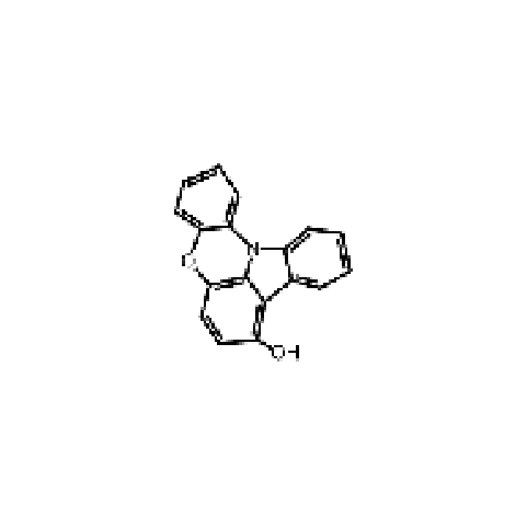 Oc1ccc2c3c1c1ccccc1n3-c1ccccc1O2